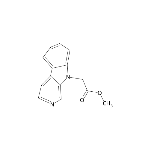 COC(=O)Cn1c2ccccc2c2ccncc21